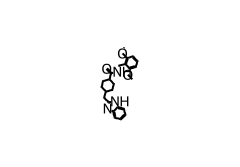 COc1cccc(OC)c1CNC(=O)C1CCC(Cc2nc3ccccc3[nH]2)CC1